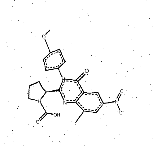 COc1ccc(-n2c([C@@H]3CCCN3C(=O)O)nc3c(C)cc([N+](=O)[O-])cc3c2=O)cc1